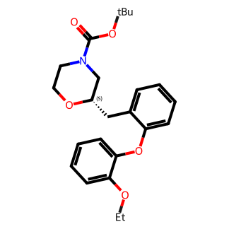 CCOc1ccccc1Oc1ccccc1C[C@H]1CN(C(=O)OC(C)(C)C)CCO1